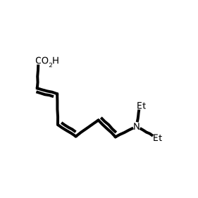 CCN(/C=C/C=C\C=C\C(=O)O)CC